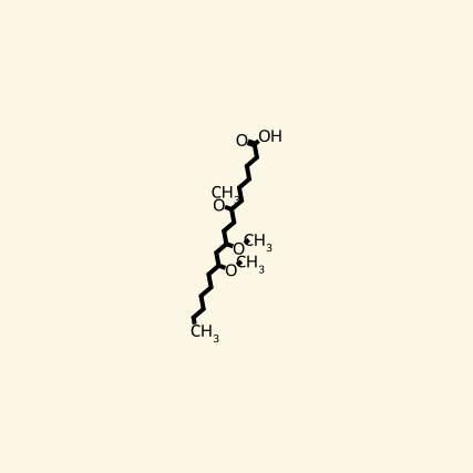 CCCCCCC(CC(CCC(CCCCCC(=O)O)OC)OC)OC